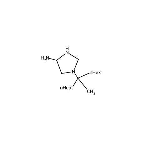 CCCCCCCC(C)(CCCCCC)N1CNC(N)C1